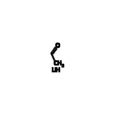 CC=O.[LiH]